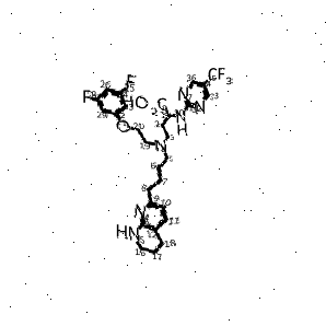 O=C(O)[C@H](CCN(CCCCc1ccc2c(n1)NCCC2)CCOc1cc(F)cc(F)c1)Nc1ncc(C(F)(F)F)cn1